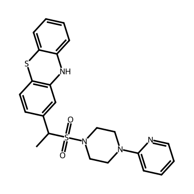 CC(c1ccc2c(c1)Nc1ccccc1S2)S(=O)(=O)N1CCN(c2ccccn2)CC1